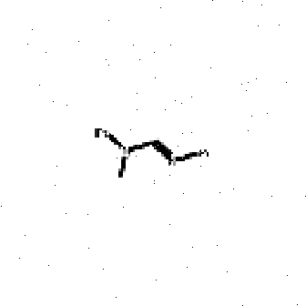 CC(C)/N=C/N(C)C(C)C